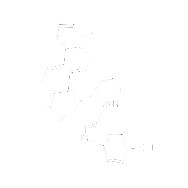 Oc1ccc2[nH]cc(-c3ncccc3C3=c4c(ccc5c4=CCc4ccccc4-5)CCC3)c2c1